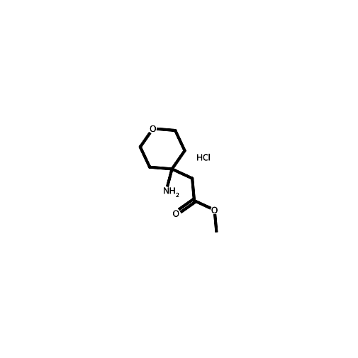 COC(=O)CC1(N)CCOCC1.Cl